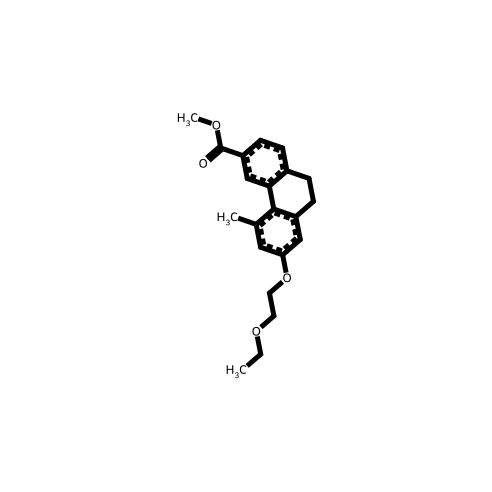 CCOCCOc1cc(C)c2c(c1)CCc1ccc(C(=O)OC)cc1-2